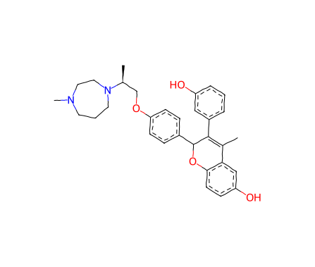 CC1=C(c2cccc(O)c2)C(c2ccc(OC[C@H](C)N3CCCN(C)CC3)cc2)Oc2ccc(O)cc21